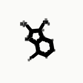 Cc1[nH]c2c(F)cccc2c1C